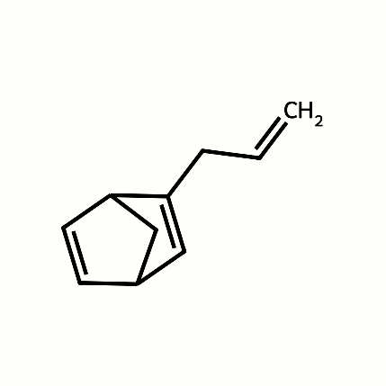 C=CCC1=CC2C=CC1C2